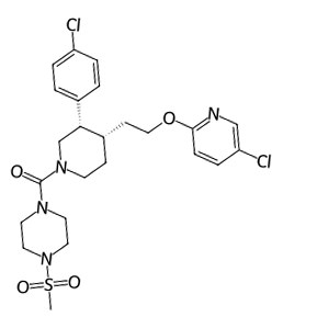 CS(=O)(=O)N1CCN(C(=O)N2CC[C@@H](CCOc3ccc(Cl)cn3)[C@@H](c3ccc(Cl)cc3)C2)CC1